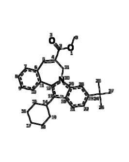 COC(=O)C1=Cc2ccccc2-c2c(C3CCCCC3)c3ccc(C(C)(C)C)cc3n2C1